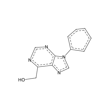 OCc1ncnc2c1ncn2-c1ccccc1